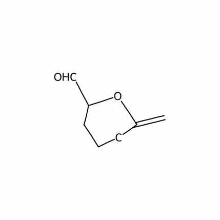 C=C1CCCC(C=O)O1